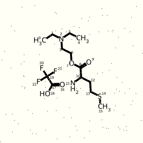 CCN(CC)CCOC(=O)C(N)CCSC.O=C(O)C(F)(F)F